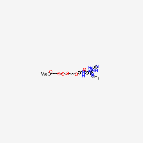 COC(=O)CCCCCOCCOCCOCCCCCCOc1ccc(CNC(=O)c2cccc(NC3(c4nnc(-c5ccncc5)[nH]4)CCN(C)CC3)c2)cc1